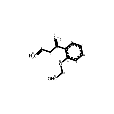 C=CCC(=C)c1ccccc1OCC=O